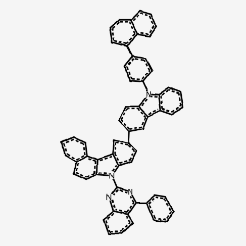 c1ccc(-c2nc(-n3c4ccc(-c5ccc6c(c5)c5ccccc5n6-c5ccc(-c6cccc7ccccc67)cc5)cc4c4c5ccccc5ccc43)nc3ccccc23)cc1